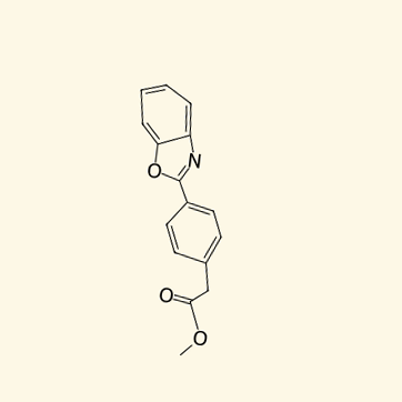 COC(=O)Cc1ccc(-c2nc3ccccc3o2)cc1